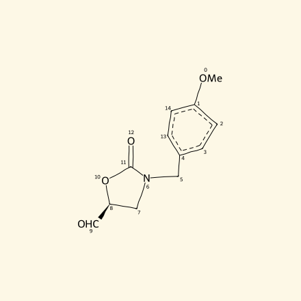 COc1ccc(CN2C[C@@H](C=O)OC2=O)cc1